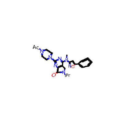 CC(=O)N1CCN(c2nc3c(c(N(C)c4cc(-c5ccccc5)on4)n2)CN(C(C)C)C3=O)CC1